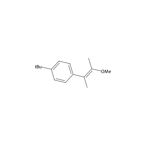 COC(C)=C(C)c1ccc(C(C)(C)C)cc1